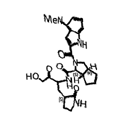 CNc1cccc2[nH]c(C(=O)N3C[C@@H]4CCC[C@@H]4[C@H]3C(=O)NC(C[C@@H]3CCNC3=O)C(=O)CO)cc12